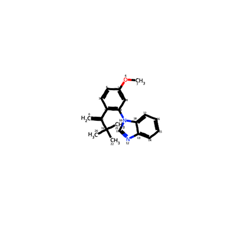 C=C(c1ccc(OC)cc1-n1cnc2ccccc21)C(C)(C)C